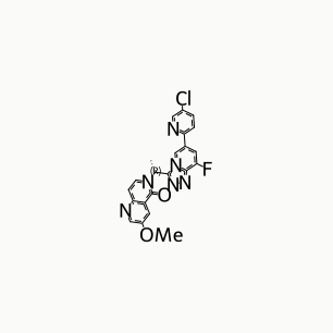 COc1cnc2ccn([C@H](C)c3nnc4c(F)cc(-c5ccc(Cl)cn5)cn34)c(=O)c2c1